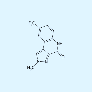 Cn1cc2c(n1)c(=O)[nH]c1ccc(C(F)(F)F)cc12